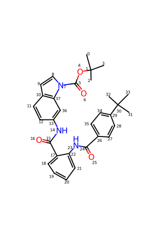 CC(C)(C)OC(=O)n1ccc2ccc(NC(=O)c3ccccc3NC(=O)c3ccc(C(C)(C)C)cc3)cc21